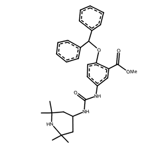 COC(=O)c1cc(NC(=O)NC2CC(C)(C)NC(C)(C)C2)ccc1OC(c1ccccc1)c1ccccc1